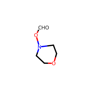 O=CON1CCOCC1